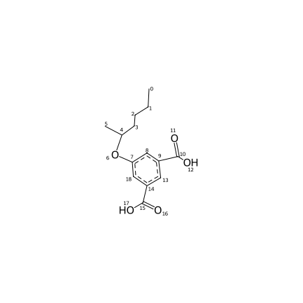 CCCCC(C)Oc1cc(C(=O)O)cc(C(=O)O)c1